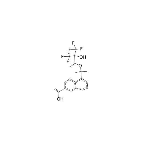 C=C(O)c1ccc2c(C(C)(C)OC(C)C(O)(C(F)(F)F)C(F)(F)F)cccc2c1